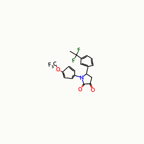 CC(F)(F)c1cccc(C2CC(=O)C(=O)N2c2ccc(OC(F)(F)F)cc2)c1